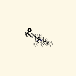 C=C/C(F)=c1/c(C(=O)C(=O)N2CCN(c3nnnn3-c3ccccc3)CC2)c[nH]/c1=C(/N)NC(=O)C(=O)N(C)C